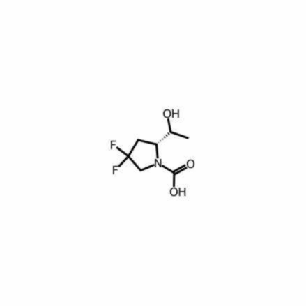 CC(O)[C@H]1CC(F)(F)CN1C(=O)O